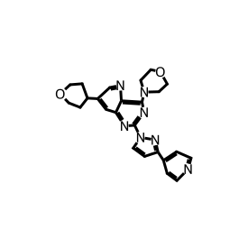 c1cc(-c2ccn(-c3nc(N4CCOCC4)c4ncc(C5CCOCC5)cc4n3)n2)ccn1